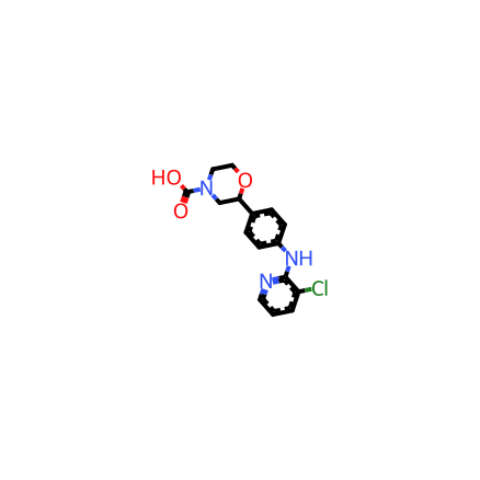 O=C(O)N1CCOC(c2ccc(Nc3ncccc3Cl)cc2)C1